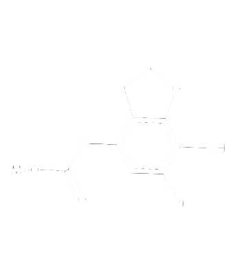 COC(=O)Oc1cc(Br)c(O)c2c1CCO2